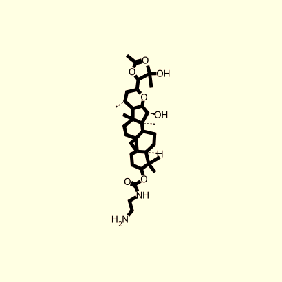 CC(=O)OC(C1C[C@@H](C)C2C(O1)[C@H](O)[C@@]1(C)C3CC[C@H]4C(C)(C)C(OC(=O)NCCN)CCC45CC35CCC21C)C(C)(C)O